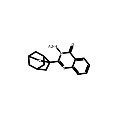 CC(=O)Nn1c(C23CC4CC(CC2C4)C3)nc2ccccc2c1=O